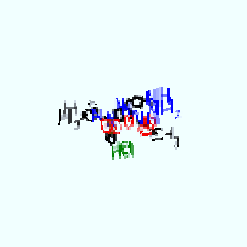 CCOC(=O)CNC(=O)Cn1c(Cc2ccc(C(=N)N)cc2)nc2cc(N(CCN(CC)CC)S(=O)(=O)c3ccccc3)ccc21.Cl.Cl